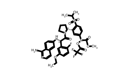 CCOc1ccc(F)c([C@H](Nc2ccc3c(N)nccc3c2)C(=O)N2CCC[C@@H]2c2cc(N(OC(=O)C(F)(F)F)C(=O)OC)ccc2S(=O)(=O)C(C)C)c1